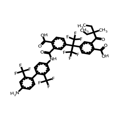 CCC(C)(CC)C(=O)c1cc(C(c2ccc(C(=O)O)c(C(=O)Nc3ccc(-c4ccc(N)cc4C(F)(F)F)c(C(F)(F)F)c3)c2)(C(F)(F)F)C(F)(F)F)ccc1C(=O)O